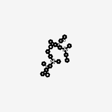 c1ccc(-c2ccc(-c3nc(-c4ccccc4)nc(-c4ccc5c6cc7c(cc6n(-c6ccc8c(c6)oc6ccccc68)c5c4)-c4ccccc4C74CCC(c5cccc(-c6ccc(-c7nc(-c8ccccc8)nc(-c8ccc9c%10cc%11c(cc%10n(-c%10ccccc%10)c9c8)-c8ccccc8C%118CCCCC8)n7)cc6)c5)CC4)n3)cc2)cc1